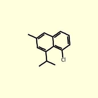 Cc1cc(C(C)C)c2c(Cl)cccc2c1